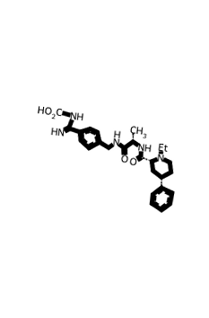 CCN1CC[C@H](c2ccccc2)C[C@@H]1C(=O)N[C@@H](C)C(=O)NCc1ccc(C(=N)NC(=O)O)cc1